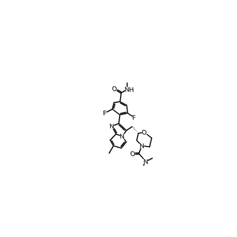 CNC(=O)c1cc(F)c(-c2nc3cc(C)ccn3c2C[C@H]2CN(C(=O)N(C)C)CCO2)c(F)c1